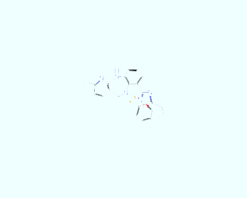 CC(=O)Cc1nc(-c2cccc3c2N(S(=O)(=O)c2ccc(C(F)(F)F)cc2)Cc2ccc(C(F)(F)F)nc2N3)no1